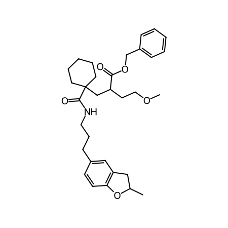 COCCC(CC1(C(=O)NCCCc2ccc3c(c2)CC(C)O3)CCCCC1)C(=O)OCc1ccccc1